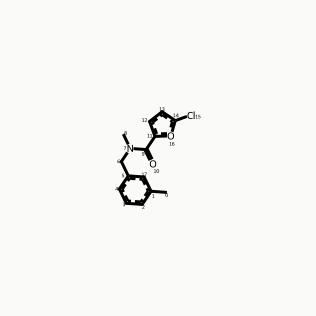 Cc1cccc(CN(C)C(=O)c2ccc(Cl)o2)c1